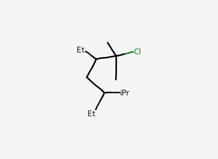 CCC(CC(CC)C(C)(C)Cl)C(C)C